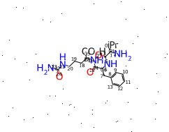 CC(C)[C@@H](N)C(=O)N[C@@H](Cc1ccccc1)C(=O)N[C@@H](CCCNC(N)=O)C(=O)O